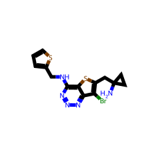 NC1(Cc2sc3c(NCc4cccs4)nnnc3c2Br)CC1